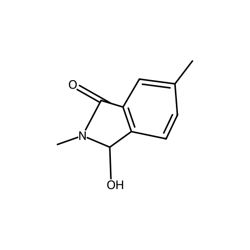 Cc1ccc2c(c1)C(=O)N(C)C2O